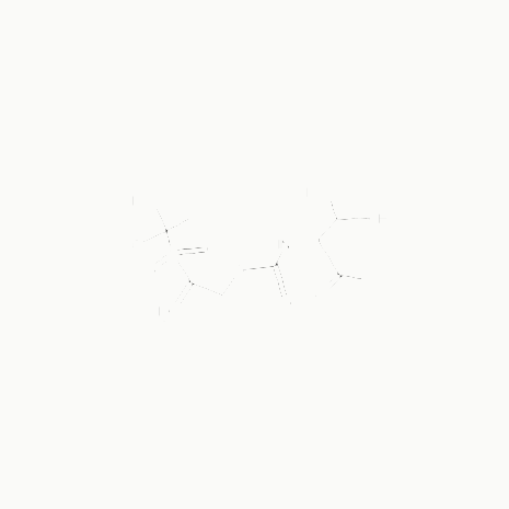 C=C(COC(=O)N[C@@H](C(=O)O)C(C)C)S(=O)(=O)C(C)(C)C